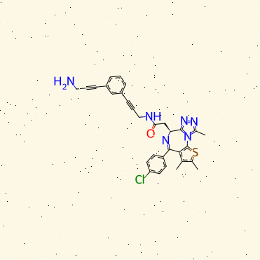 Cc1sc2c(c1C)C(c1ccc(Cl)cc1)=N[C@@H](CC(=O)NCC#Cc1cccc(C#CCN)c1)c1nnc(C)n1-2